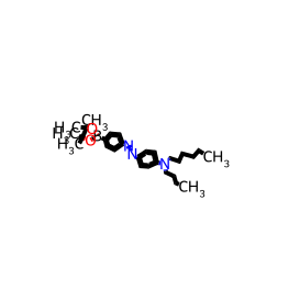 CCCCCCN(CCCC)c1ccc(N=Nc2ccc(B3OC(C)(C)C(C)(C)O3)cc2)cc1